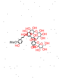 COc1cc(/C=C/COC[C@H]2O[C@@H](Oc3cc4c(O[C@@H]5O[C@H](CO)[C@@H](O)[C@H](O)[C@H]5O)cc(O)cc4[o+]c3-c3ccc(O)c(O)c3)[C@H](O[C@@H]3O[C@H](CO)[C@@H](O)[C@H](O)[C@H]3O)[C@@H](O)[C@@H]2O)ccc1O